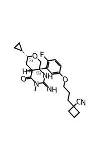 CN1C(=N)N[C@@]2(c3cc(OCCCC4(C#N)CCC4)ccc3F)CO[C@@H](C3CC3)C[C@H]2C1=O